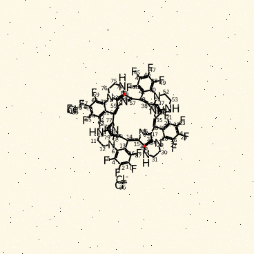 Fc1c(F)c(F)c(N2CCNCC2)c(-c2c3nc(c(-c4c(F)c(F)c(F)c(F)c4N4CCNCC4)c4ccc([nH]4)c(-c4c(F)c(F)c(F)c(F)c4N4CCNCC4)c4nc(c(-c5c(F)c(F)c(F)c(F)c5N5CCNCC5)c5ccc2[nH]5)C=C4)C=C3)c1F.[Cl-].[Cl-].[Cl-].[Fe+3]